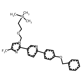 C[Si](C)(C)CCOCn1cc(C(F)(F)F)nc1-c1ccc(-c2ccc(OCc3ccccc3)cc2)nc1